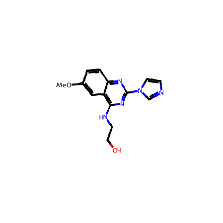 COc1ccc2nc(-n3ccnc3)nc(NCCO)c2c1